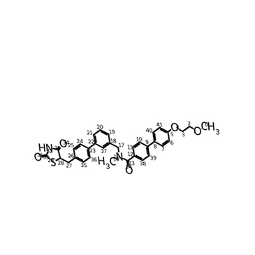 COCCOc1ccc(-c2ccc(C(=O)N(C)Cc3cccc(-c4ccc(CC5SC(=O)NC5=O)cc4)c3)cc2)cc1